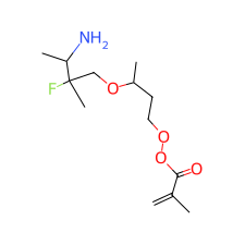 C=C(C)C(=O)OOCCC(C)OCC(C)(F)C(C)N